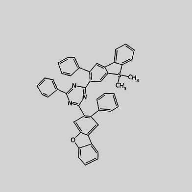 CS1(C)c2ccccc2-c2cc(-c3ccccc3)c(-c3nc(-c4ccccc4)nc(-c4cc5oc6ccccc6c5cc4-c4ccccc4)n3)cc21